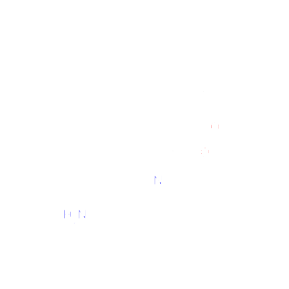 CC(=O)CC(C)C(=O)N(C)CCN